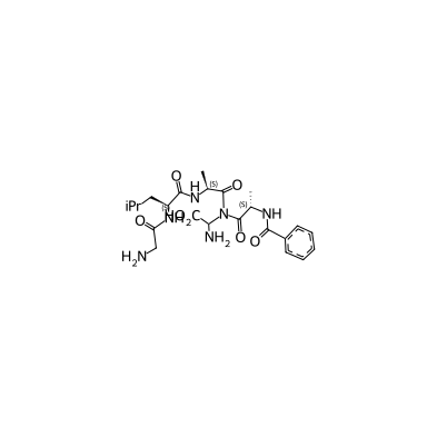 CC(C)C[C@H](NC(=O)CN)C(=O)N[C@@H](C)C(=O)N(C(=O)[C@H](C)NC(=O)c1ccccc1)C(N)C(=O)O